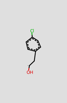 O[CH]Cc1ccc(Cl)cc1